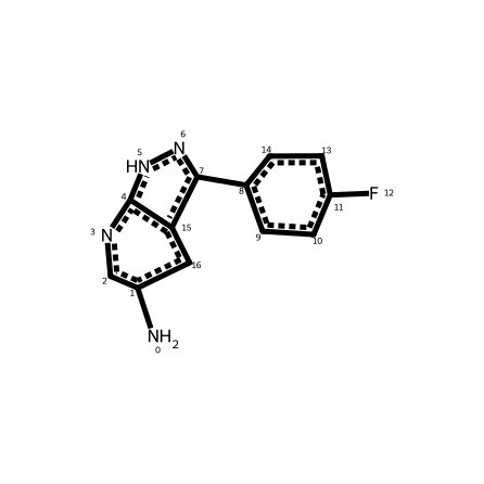 Nc1cnc2[nH]nc(-c3ccc(F)cc3)c2c1